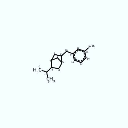 CC(C)C1CC2CC1CC2Cc1cccc(F)c1